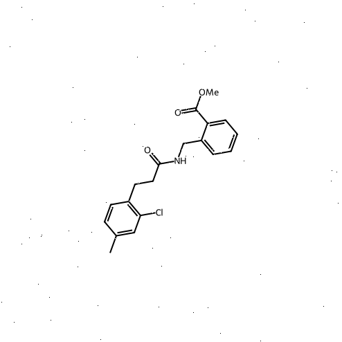 COC(=O)c1ccccc1CNC(=O)CCc1ccc(C)cc1Cl